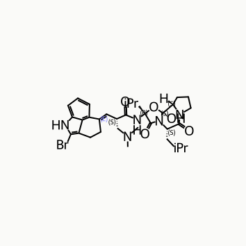 CC(C)C[C@H]1C(=O)N2CCC[C@H]2[C@]2(O)O[C@](NC(=O)[C@@H](/C=C3\CCc4c(Br)[nH]c5cccc3c45)CN(C)C)(C(C)C)C(=O)N12